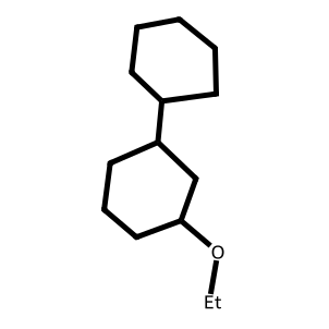 CCOC1CCCC(C2CCCCC2)C1